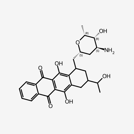 CC(O)C1Cc2c(O)c3c(c(O)c2C(C[C@H]2C[C@H](N)[C@@H](O)[C@@H](C)O2)C1)C(=O)c1ccccc1C3=O